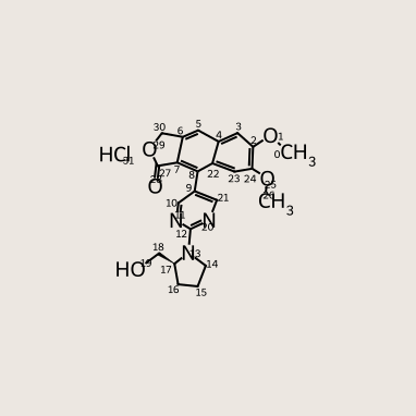 COc1cc2cc3c(c(-c4cnc(N5CCC[C@H]5CO)nc4)c2cc1OC)C(=O)OC3.Cl